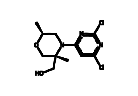 C[C@H]1CN(c2cc(Cl)nc(Cl)n2)[C@](C)(CO)CO1